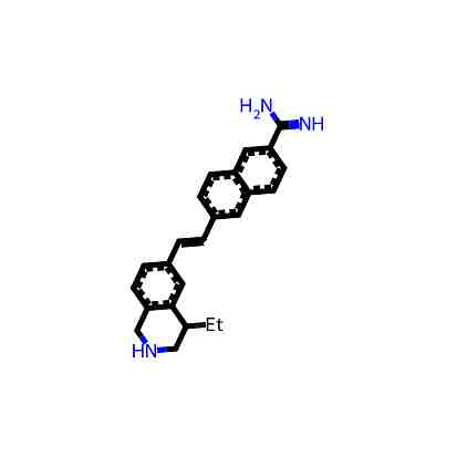 CCC1CNCc2ccc(C=Cc3ccc4cc(C(=N)N)ccc4c3)cc21